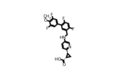 COc1c(F)cc(-c2cc(CNc3ccc([C@H]4C[C@@H]4C(=O)O)nc3)c(F)cc2F)cc1F